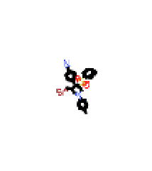 Cc1ccc(N2CC(S(=O)(=O)c3ccccc3)=C(c3ccc(C#N)cc3)C(CBr)C2)cc1